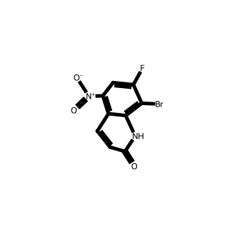 O=c1ccc2c([N+](=O)[O-])cc(F)c(Br)c2[nH]1